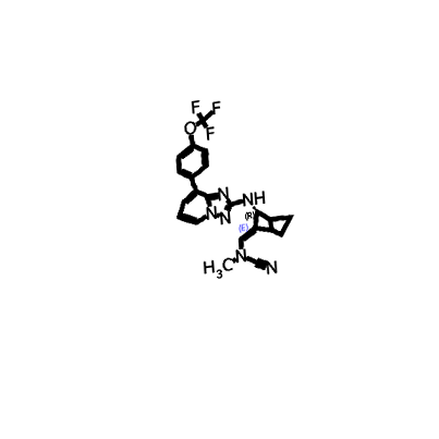 CN(C#N)/C=C1\C2CCC2[C@H]1Nc1nc2c(-c3ccc(OC(F)(F)F)cc3)cccn2n1